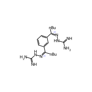 CCCC/C(=N/NC(=N)N)c1cccc(/C(CCCC)=N\NC(=N)N)c1